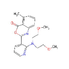 COCCN(CCOC)c1ncccc1-c1nc2cccc(C)c2c(=O)o1